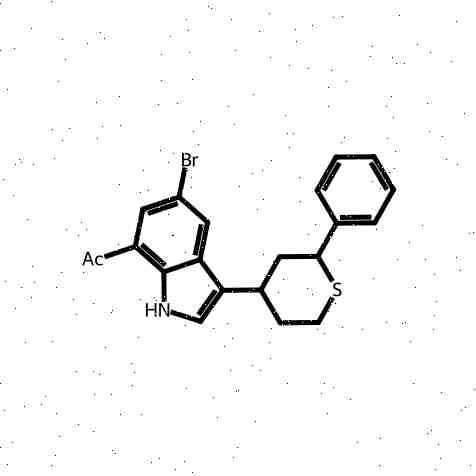 CC(=O)c1cc(Br)cc2c(C3CCSC(c4ccccc4)C3)c[nH]c12